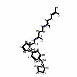 CC(C)=CCC/C(C)=C/CC/C(C)=C/CC1=[C]C=C[SH]1c1ccc(CN2CCCC2)cc1